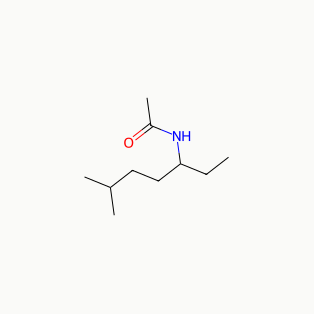 CCC(CCC(C)C)NC(C)=O